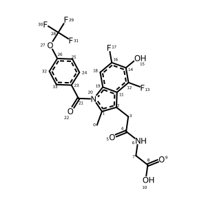 Cc1c(CC(=O)NCC(=O)O)c2c(F)c(O)c(F)cc2n1C(=O)c1ccc(OC(F)(F)F)cc1